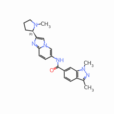 Cc1nn(C)c2cc(C(=O)Nc3ccc4nc([C@H]5CCCN5C)cn4c3)ccc12